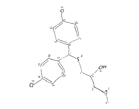 COCC(O)CSC(c1ccc(Cl)cc1)c1ccc(Cl)cc1